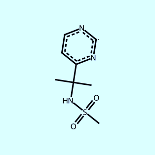 CC(C)(NS(C)(=O)=O)c1ccn[c]n1